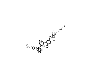 CCCCCCCCNC(=O)Oc1ccc(O)c(-c2cncc(-c3nncn3COCC[Si](C)(C)C)c2)c1